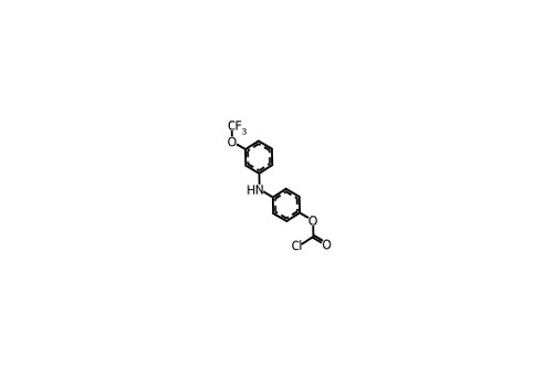 O=C(Cl)Oc1ccc(Nc2cccc(OC(F)(F)F)c2)cc1